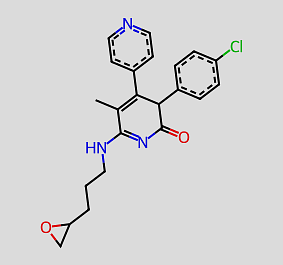 CC1=C(c2ccncc2)C(c2ccc(Cl)cc2)C(=O)N=C1NCCCC1CO1